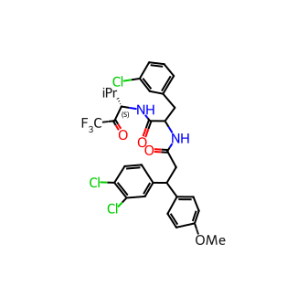 COc1ccc(C(CC(=O)NC(Cc2cccc(Cl)c2)C(=O)N[C@H](C(=O)C(F)(F)F)C(C)C)c2ccc(Cl)c(Cl)c2)cc1